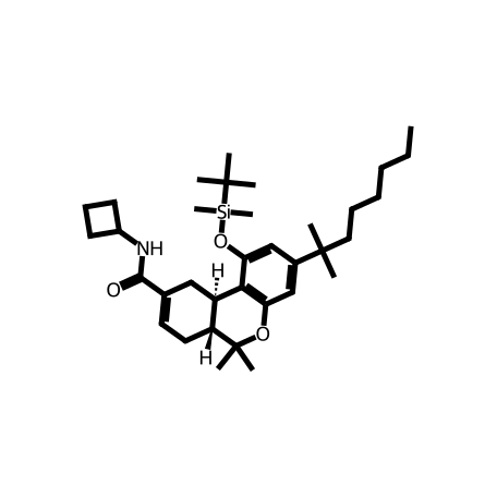 CCCCCCC(C)(C)c1cc2c(c(O[Si](C)(C)C(C)(C)C)c1)[C@@H]1CC(C(=O)NC3CCC3)=CC[C@H]1C(C)(C)O2